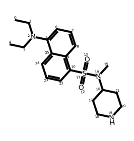 CCN(CC)c1cccc2c(S(=O)(=O)N(C)C3CCNCC3)cccc12